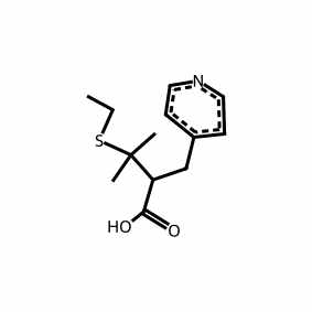 CCSC(C)(C)C(Cc1ccncc1)C(=O)O